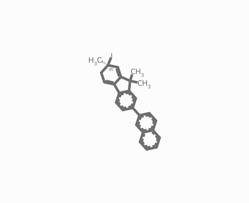 CC1(C)C2=C[C@](C)(I)CC=C2c2ccc(-c3ccc4ccccc4c3)cc21